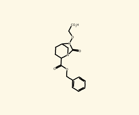 O=C(O)CON1C(=O)N2CC1CCC2C(=O)OCc1ccccc1